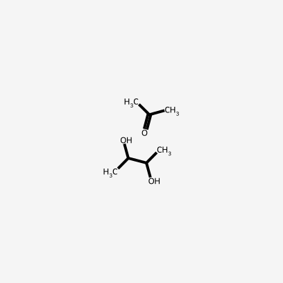 CC(C)=O.CC(O)C(C)O